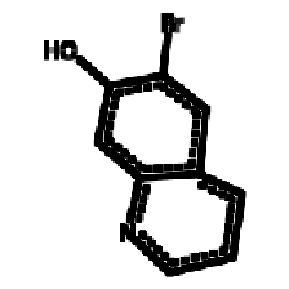 Oc1cc2ncccc2cc1Br